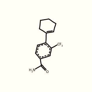 NC(=O)c1ccc(C2=CCCCC2)c(C(F)(F)F)c1